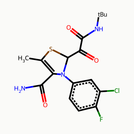 CC1=C(C(N)=O)N(c2ccc(F)c(Cl)c2)C(C(=O)C(=O)NC(C)(C)C)S1